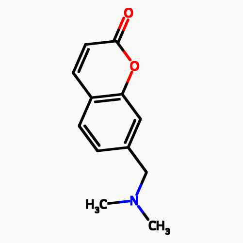 CN(C)Cc1ccc2ccc(=O)oc2c1